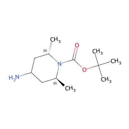 C[C@H]1CC(N)C[C@H](C)N1C(=O)OC(C)(C)C